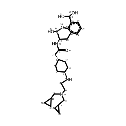 O=C(C[C@H]1CC[C@H](NCCN(CC2CC2)CC2CC2)CC1)N[C@H]1Cc2cccc(C(O)O)c2OB1O